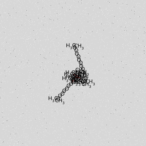 CC(C)OCCOCCOCCOCCOCCOCCOCCOCCOCCOCCOCC(C)OCC(C)OCC(C)OCC(C)OCC(C)OCC(C)OCC(C)OCC(C)OCC(C)OCC(C)OCC(C)OCC(C)OCC(C)OCC(C)OCC(C)OCC(C)OCCOCCOCCOCCOCCOCCOCCOCCOCCOCCOC(C)C